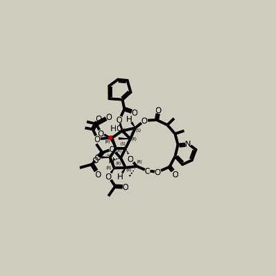 CC(=O)OC[C@]12[C@H](OC(C)=O)[C@H](OC(C)=O)[C@@H]3[C@@H](OC(C)=O)[C@@]14O[C@@]3(C)COC(=O)c1cccnc1C(C)C(C)C(=O)O[C@@H]([C@H](OC(=O)c1ccccc1)[C@@H]2OC(C)=O)[C@@]4(C)O